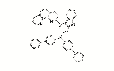 c1ccc(-c2ccc(N(c3ccc(-c4ccccc4)cc3)c3cc(-c4ccc5ccc6cccnc6c5n4)c4c(c3)oc3ccccc34)cc2)cc1